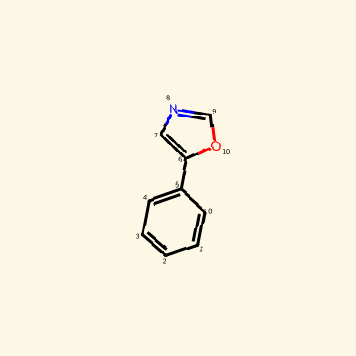 [c]1ccccc1-c1cnco1